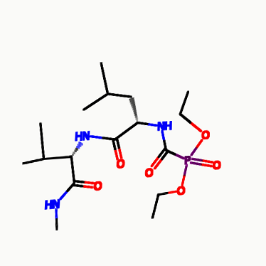 CCOP(=O)(OCC)C(=O)N[C@@H](CC(C)C)C(=O)N[C@H](C(=O)NC)C(C)C